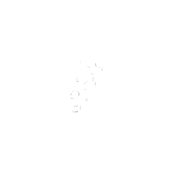 C[C@H]1c2ccc(-c3ncco3)c(O)c2C(=O)C2=C(O)[C@@H]3C(=O)C(C(N)=O)=C(O)CC3[C@@H](O)[C@@H]21